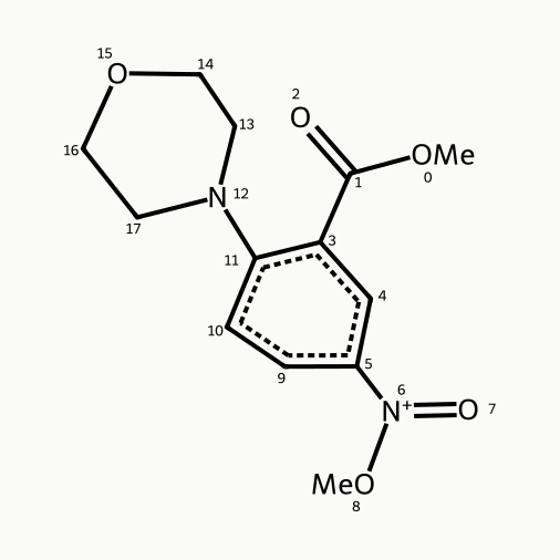 COC(=O)c1cc([N+](=O)OC)ccc1N1CCOCC1